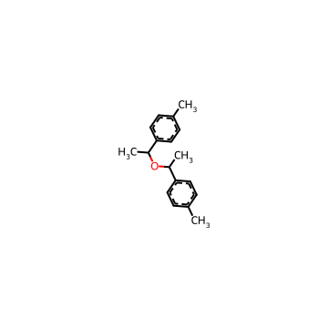 Cc1ccc(C(C)OC(C)c2ccc(C)cc2)cc1